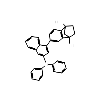 CC12CCC(C)(C1)c1cc(-c3cc(N(c4ccccc4)c4ccccc4)cc4ccccc34)ccc12